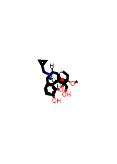 CO[C@]12CC[C@@]3(C[C@@H]1CO)[C@H]1Cc4ccc(O)c5c4[C@@]3(CCN1CC1CC1)[C@H]2O5